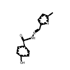 Cc1ccc(C=NNC(=O)c2ccc(O)cc2)s1